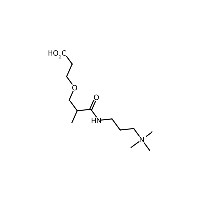 CC(COCCC(=O)O)C(=O)NCCC[N+](C)(C)C